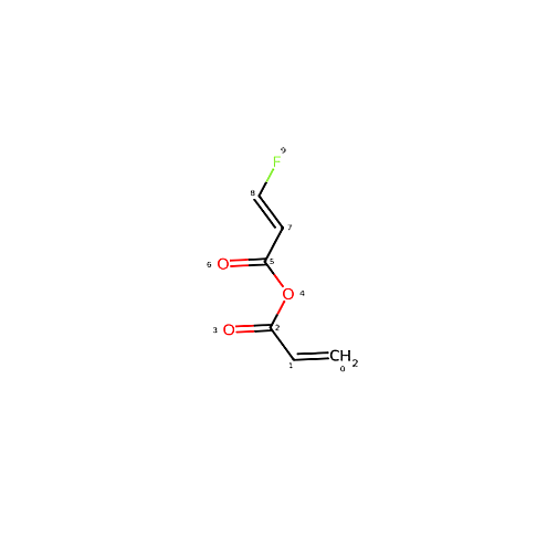 C=CC(=O)OC(=O)C=CF